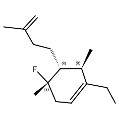 C=C(C)CC[C@@H]1[C@@H](C)C(CC)=CC[C@]1(C)F